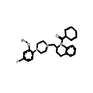 CC(C)Oc1cc(F)ccc1N1CCN(CC2CCc3ccccc3N2C(=O)C2CCCCC2)CC1